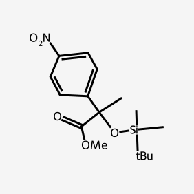 COC(=O)C(C)(O[Si](C)(C)C(C)(C)C)c1ccc([N+](=O)[O-])cc1